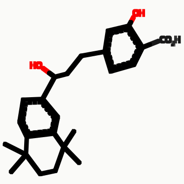 CC1(C)CCC(C)(C)c2cc(C(O)CCc3ccc(C(=O)O)c(O)c3)ccc21